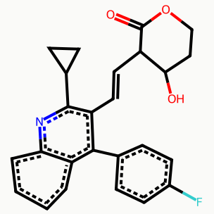 O=C1OCCC(O)C1C=Cc1c(C2CC2)nc2ccccc2c1-c1ccc(F)cc1